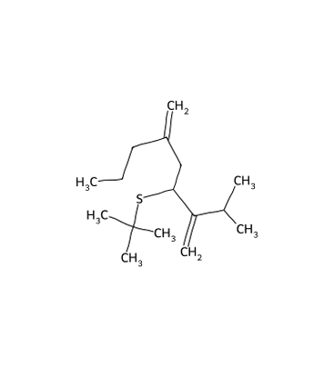 C=C(CCC)CC(SC(C)(C)C)C(=C)C(C)C